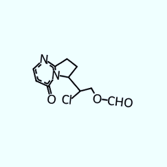 O=COCC(Cl)C1CCc2nccc(=O)n21